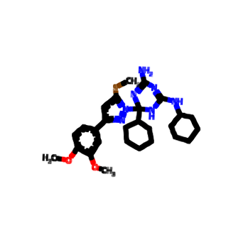 COc1ccc(-c2cc(SC)n(C3(C4CCCCC4)N=C(N)N=C(NC4CCCCC4)N3)n2)cc1OC